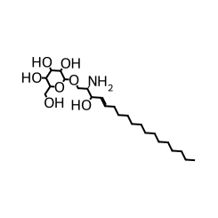 CCCCCCCCCCCCC/C=C/C(O)[C@@H](N)COC1OC(CO)C(O)C(O)C1O